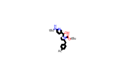 CC(=O)c1ccc(CC2CC[C@H]([C@H](O)c3ccc(NC(C)(C)C)nc3)N2C(=O)OC(C)(C)C)cc1